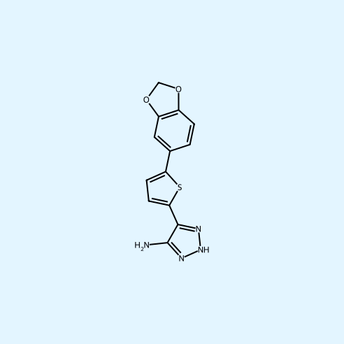 Nc1n[nH]nc1-c1ccc(-c2ccc3c(c2)OCO3)s1